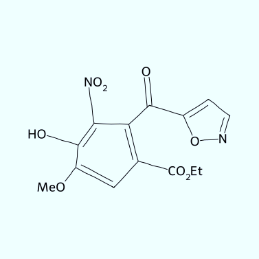 CCOC(=O)c1cc(OC)c(O)c([N+](=O)[O-])c1C(=O)c1ccno1